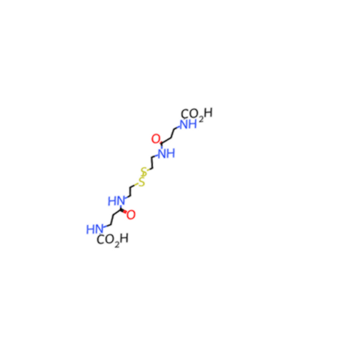 O=C(O)NCCC(=O)NCCSSCCNC(=O)CCNC(=O)O